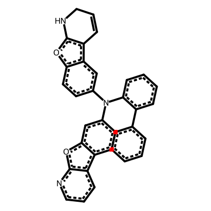 C1=Cc2c(oc3ccc(N(c4ccc5c(c4)oc4ncccc45)c4ccccc4-c4ccccc4)cc23)NC1